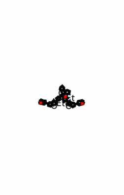 CCc1cc(C(C)(c2ccc(N3COc4ccc(C56CC7CC(CC(C7)C5)C6)cc4C3)cc2)P2(=O)Oc3ccccc3-c3ccccc32)cc(CC)c1N1COc2ccc(C34CC5CC(CC(C5)C3)C4)cc2C1